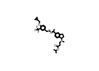 C/C(=N\OCc1ccc(OCC2CC2)c(C(F)(F)F)c1)c1ccc2c(c1)CCC2N(C)CCC(=O)OC(C)C